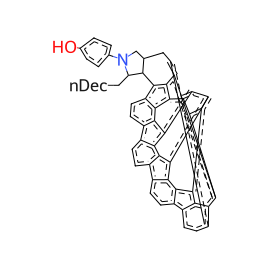 CCCCCCCCCCCC1C2c3c4ccc5c6ccc7c8ccc9c%10ccc%11c(c%12c3c3c4c5c4c6c7c5c8c9c6c%10c%11c%12c7c3c4c5c67)CC2CN1c1ccc(O)cc1